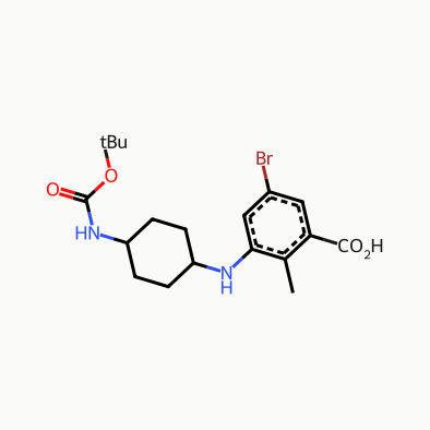 Cc1c(NC2CCC(NC(=O)OC(C)(C)C)CC2)cc(Br)cc1C(=O)O